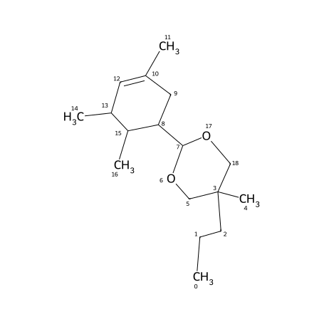 CCCC1(C)COC(C2CC(C)=CC(C)C2C)OC1